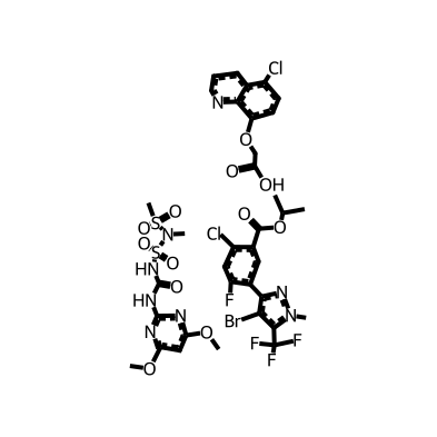 CC(C)OC(=O)c1cc(-c2nn(C)c(C(F)(F)F)c2Br)c(F)cc1Cl.COc1cc(OC)nc(NC(=O)NS(=O)(=O)N(C)S(C)(=O)=O)n1.O=C(O)COc1ccc(Cl)c2cccnc12